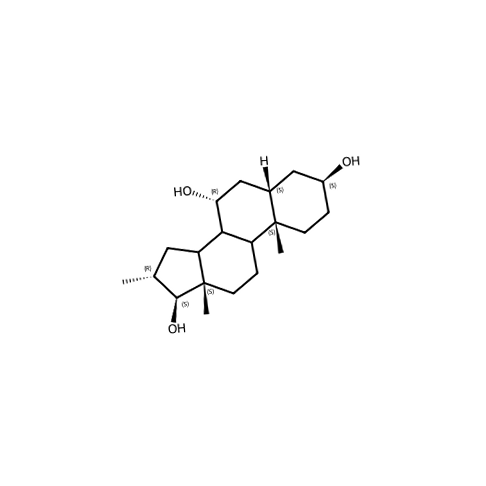 C[C@@H]1CC2C3C(CC[C@]2(C)[C@H]1O)[C@@]1(C)CC[C@H](O)C[C@H]1C[C@H]3O